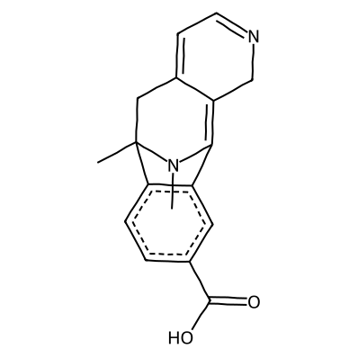 CN1C2=C3CN=CC=C3CC1(C)c1ccc(C(=O)O)cc12